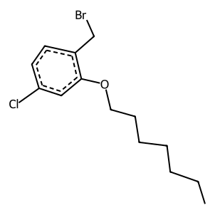 CCCCCCCOc1cc(Cl)ccc1CBr